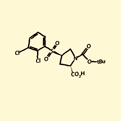 CC(C)(C)OC(=O)N1C[C@H](S(=O)(=O)c2cccc(Cl)c2Cl)C[C@H]1C(=O)O